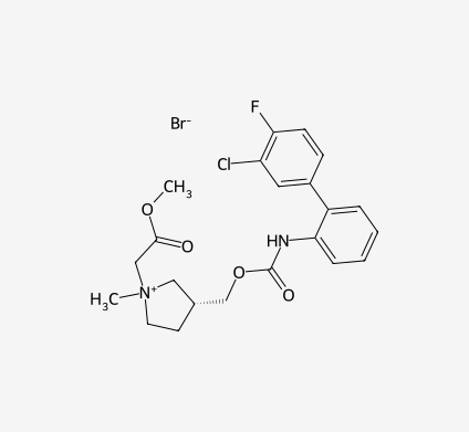 COC(=O)C[N+]1(C)CC[C@@H](COC(=O)Nc2ccccc2-c2ccc(F)c(Cl)c2)C1.[Br-]